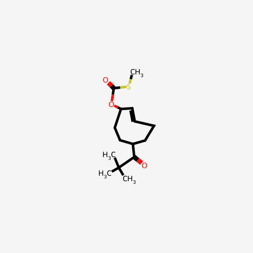 CSC(=O)OC1/C=C/CCC(C(=O)C(C)(C)C)CC1